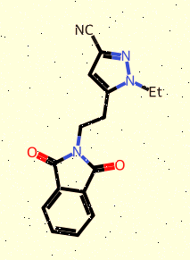 CCn1nc(C#N)cc1CCN1C(=O)c2ccccc2C1=O